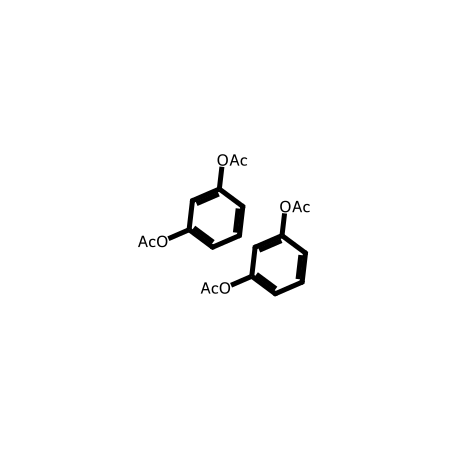 CC(=O)Oc1cccc(OC(C)=O)c1.CC(=O)Oc1cccc(OC(C)=O)c1